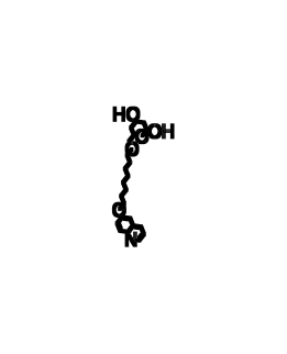 OC1CC(O)OC(COCCCCCCCCOc2ccc3ncccc3c2)C1